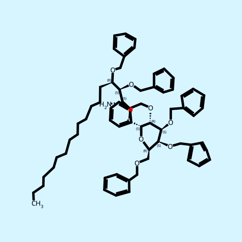 CCCCCCCCCCCCCC[C@@H](OCc1ccccc1)[C@@H](OCc1ccccc1)[C@@H](N)CO[C@H]1O[C@H](COCc2ccccc2)[C@H](OCc2ccccc2)[C@H](OCc2ccccc2)[C@H]1OCc1ccccc1